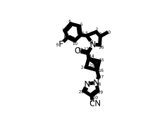 CC1CC(c2cccc(F)c2)N(C(=O)C23CC(Cn4cc(C#N)cn4)(C2)C3)C1